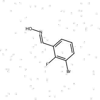 ON=Cc1cccc(Br)c1F